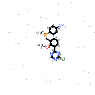 COc1c(CP(C)c2ccc(N)cc2)cccc1-c1ncnc(Cl)n1